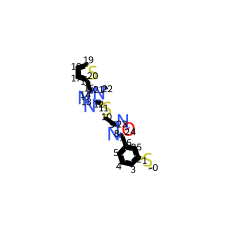 CSc1cccc(-c2nc(CSc3nnc(-c4cccs4)n3C)no2)c1